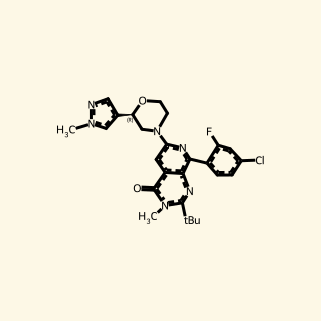 Cn1cc([C@@H]2CN(c3cc4c(=O)n(C)c(C(C)(C)C)nc4c(-c4ccc(Cl)cc4F)n3)CCO2)cn1